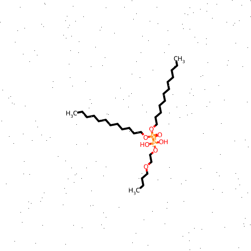 CCCCCCCCCCCCOP(=O)(OCCCCCCCCCCCC)[PH](O)(O)OCCOCCCC